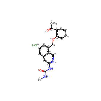 CCNC(=O)Nc1cc2cccc(COc3ccccc3C(=O)OC)c2cn1.Cl